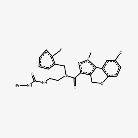 CC(C)NC(=O)NCCN(Cc1ccccc1F)C(=O)c1nn(C)c2c1COc1ccc(Cl)cc1-2